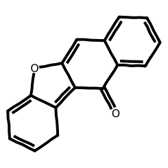 O=C1c2ccccc2C=c2oc3c(c21)CC=CC=3